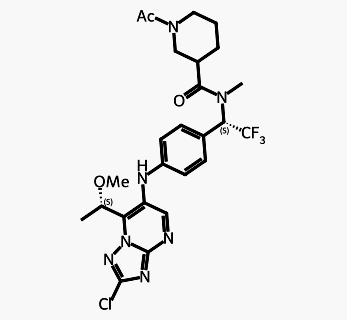 CO[C@@H](C)c1c(Nc2ccc([C@H](N(C)C(=O)C3CCCN(C(C)=O)C3)C(F)(F)F)cc2)cnc2nc(Cl)nn12